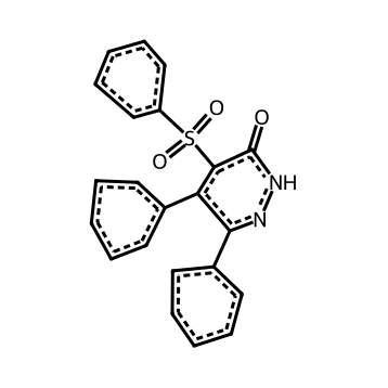 O=c1[nH]nc(-c2ccccc2)c(-c2ccccc2)c1S(=O)(=O)c1ccccc1